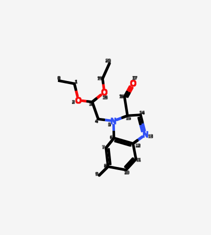 CCOC(CN1c2cc(C)ccc2N=CC1C=O)OCC